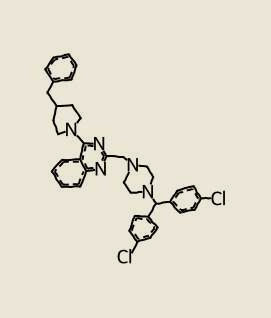 Clc1ccc(C(c2ccc(Cl)cc2)N2CCN(Cc3nc(N4CCC(Cc5ccccc5)CC4)c4ccccc4n3)CC2)cc1